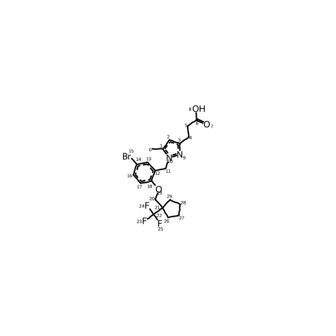 Cc1cc(CCC(=O)O)nn1Cc1cc(Br)ccc1OCC1(C(F)(F)F)CCCC1